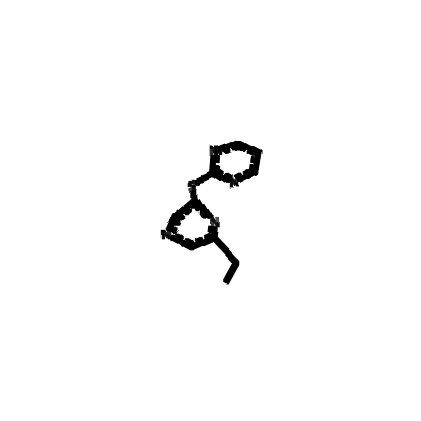 CCc1cncc(Sc2ncccn2)n1